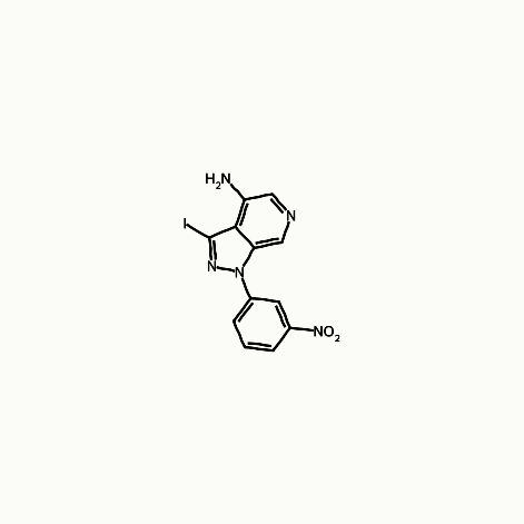 Nc1cncc2c1c(I)nn2-c1cccc([N+](=O)[O-])c1